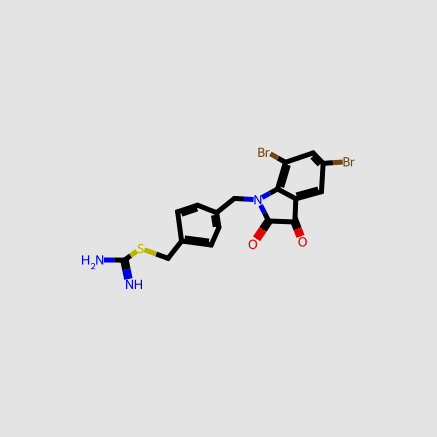 N=C(N)SCc1ccc(CN2C(=O)C(=O)c3cc(Br)cc(Br)c32)cc1